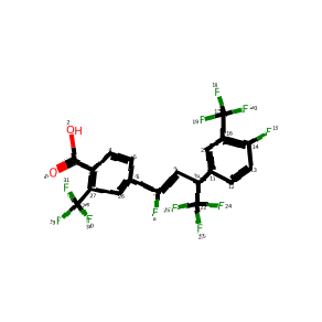 O=C(O)c1ccc(/C(F)=C/C(c2ccc(F)c(C(F)(F)F)c2)C(F)(F)F)cc1C(F)(F)F